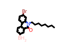 Bc1ccc2c(c1)c(=O)n(CCCCCCCC)c1cc(Br)ccc21